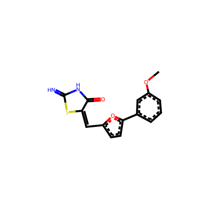 COc1cccc(-c2ccc(C=C3SC(=N)NC3=O)o2)c1